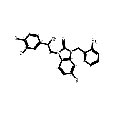 Cc1ccccc1Cn1c(=N)n(CC(O)c2ccc(Cl)c(Cl)c2)c2ccc(Cl)cc21